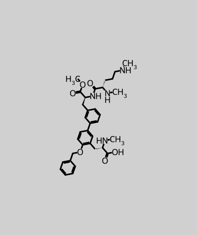 CNCCC[C@H](NC)C(=O)N[C@@H](Cc1cccc(-c2ccc(OCc3ccccc3)c(C[C@H](NC)C(=O)O)c2)c1)C(=O)OC